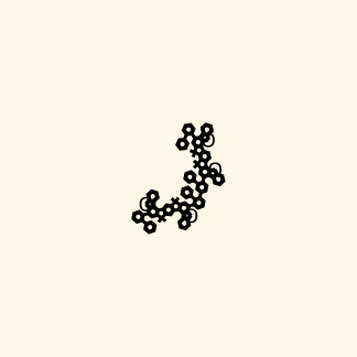 CC1(C)c2cc3c(cc2-c2c1cc(-c1ccccc1-c1ccccc1)c1oc4ccccc4c21)C(C)(C)c1cc(-c2cccc(-c4ccc(-c5cc6c(c7oc8ccccc8c57)-c5ccc7c(c5C6(C)C)C(C)(C)c5cc(-c6ccccc6-c6ccccc6)c6c(oc8ccccc86)c5-7)c(-c5ccccc5)c4)c2-c2ccccc2)c2oc4ccccc4c2c1-3